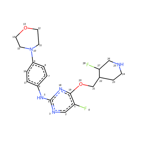 Fc1cnc(Nc2ccc(N3CCOCC3)cc2)nc1OCC1CCNCC1F